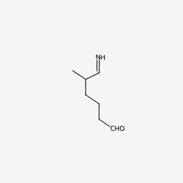 CC(C=N)CCCC=O